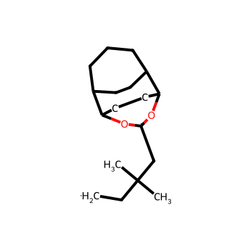 [CH2]CC(C)(C)C[C]1OC2CCC(O1)C1CCCC2CC1